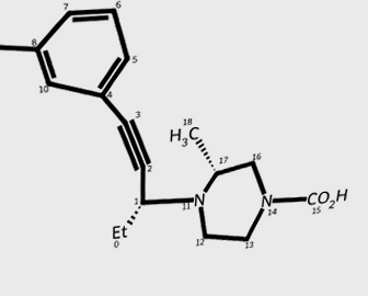 CC[C@H](C#Cc1cccc(Cl)c1)N1CCN(C(=O)O)C[C@H]1C